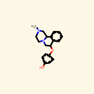 CN1CCN2CC(Oc3ccc(O)cc3)c3ccccc3C2C1